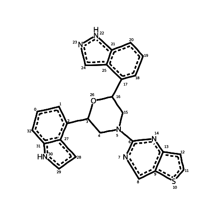 c1cc(C2CN(c3ncc4sccc4n3)CC(c3cccc4[nH]ncc34)O2)c2cc[nH]c2c1